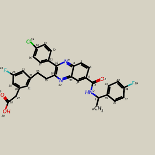 CC(NC(=O)c1ccc2nc(-c3ccc(Cl)cc3)c(CCc3cc(F)cc(CC(=O)O)c3)nc2c1)c1ccc(F)cc1